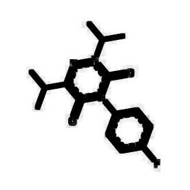 CC(C)c1nn(C(C)C)c(=O)n(-c2ccc(F)cc2)c1=O